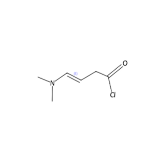 CN(C)/C=C/CC(=O)Cl